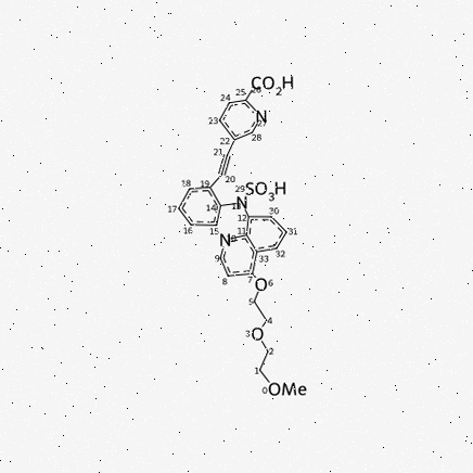 COCCOCCOc1ccnc2c(N(c3ccccc3C#Cc3ccc(C(=O)O)nc3)S(=O)(=O)O)cccc12